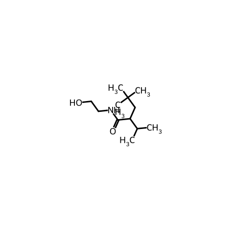 CC(C)C(CC(C)(C)C)C(=O)NCCO